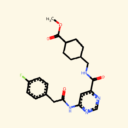 COC(=O)C1CCC(CNC(=O)c2cc(NC(=O)Cc3ccc(F)cc3)ncn2)CC1